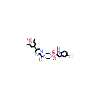 Cc1cc(-c2cnc(C(=O)N3CCN(S(=O)(=O)c4cc5cc(Cl)ccc5[nH]4)CC3)nc2)cc(C)[n+]1[O-]